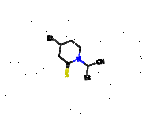 CCC1CCN(C(C#N)CC)C(=S)C1